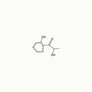 CC(O)C(=O)c1ccccc1O